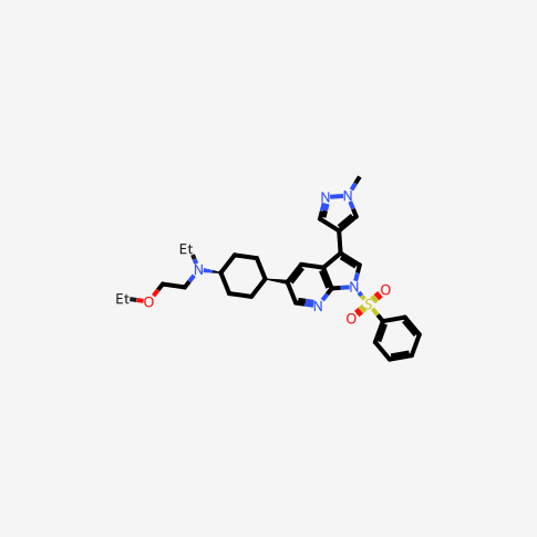 CCOCCN(CC)[C@H]1CC[C@@H](c2cnc3c(c2)c(-c2cnn(C)c2)cn3S(=O)(=O)c2ccccc2)CC1